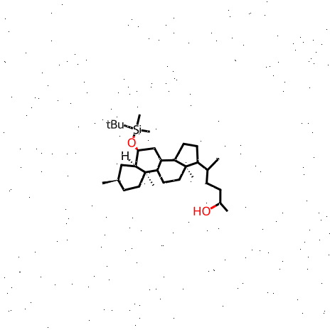 CC(O)CCC(C)C1CCC2C3C[C@H](O[Si](C)(C)C(C)(C)C)[C@@H]4C[C@H](C)CC[C@]4(C)C3CC[C@]12C